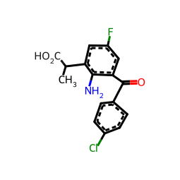 CC(C(=O)O)c1cc(F)cc(C(=O)c2ccc(Cl)cc2)c1N